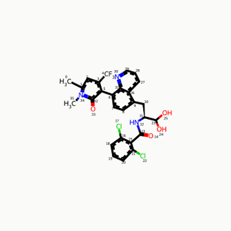 Cc1cc(C(F)(F)F)c(-c2ccc(C[C@H](NC(=O)c3c(Cl)cccc3Cl)C(O)O)c3cccnc23)c(=O)n1C